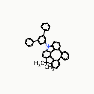 CC1(C)c2cccc3c4ccccc4c4cccc5c4c4c(c1ccc4n5-c1cc(-c4ccccc4)cc(-c4ccccc4)c1)c23